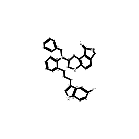 O=C1NCc2ccc3c(c21)CC(N(Cc1ccccc1)c1ccccc1CCCc1c[nH]c2ccc(F)cc12)CO3